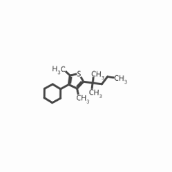 CCCC(C)(C)c1sc(C)c(C2CCCCC2)c1C